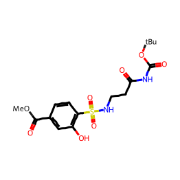 COC(=O)c1ccc(S(=O)(=O)NCCC(=O)NC(=O)OC(C)(C)C)c(O)c1